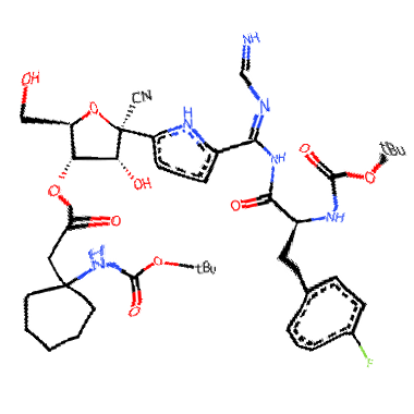 CC(C)(C)OC(=O)N[C@@H](Cc1ccc(F)cc1)C(=O)N/C(=N/C=N)c1ccc([C@]2(C#N)O[C@H](CO)[C@@H](OC(=O)CC3(NC(=O)OC(C)(C)C)CCCCC3)[C@H]2O)[nH]1